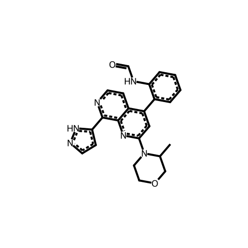 CC1COCCN1c1cc(-c2ccccc2NC=O)c2ccnc(-c3ccn[nH]3)c2n1